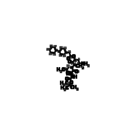 C=C(C(=O)[C@H](CCN)OC(=O)Cc1ccc(-c2ccccc2)cc1)[C@@H](CC(C)O)C(=O)NNC(=O)OC(C)(C)C